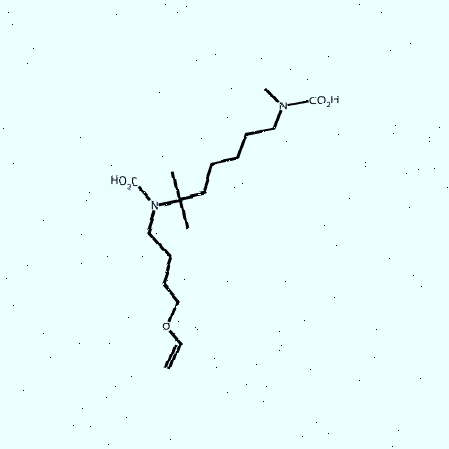 C=COCCCCN(C(=O)O)C(C)(C)CCCCCN(C)C(=O)O